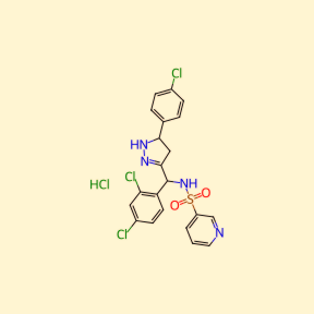 Cl.O=S(=O)(NC(C1=NNC(c2ccc(Cl)cc2)C1)c1ccc(Cl)cc1Cl)c1cccnc1